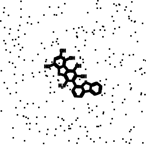 Bc1c(-c2cccc3c2sc2ccccc23)c(O)c(O)c2c1sc1c(O)cc(O)c(O)c12